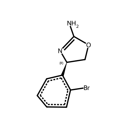 NC1=N[C@H](c2ccccc2Br)CO1